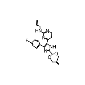 C=CCNc1nccc(-c2[nH]c(C3OCC(=C)CO3)nc2-c2ccc(F)cc2)n1